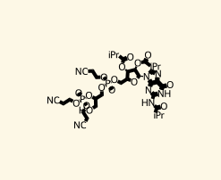 CC(C)C(=O)Nc1nc2c(ncn2[C@@H]2OC(COP(=O)(OCCC#N)OCC(CO)OP(=O)(OCCC#N)OCCC#N)[C@@H](OC(=O)C(C)C)[C@H]2OC(=O)C(C)C)c(=O)[nH]1